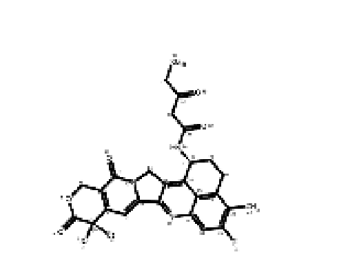 CC[C@@]1(O)C(=O)OCc2c1cc1n(c2=O)Cc2c-1nc1cc(F)c(C)c3c1c2[C@@H](NC(=O)CC(=O)CSC)CC3